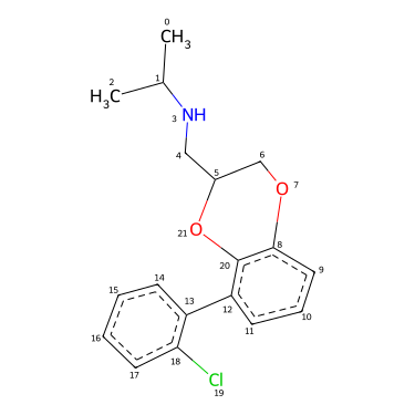 CC(C)NCC1COc2cccc(-c3ccccc3Cl)c2O1